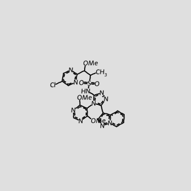 COc1ncnc(OC)c1-n1c(NS(=O)(=O)C(C)C(OC)c2ncc(Cl)cn2)nnc1-c1cnn2ccccc12